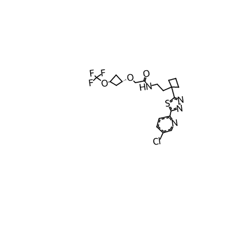 O=C(CO[C@H]1C[C@@H](OC(F)(F)F)C1)NCCC1(c2nnc(-c3ccc(Cl)cn3)s2)CCC1